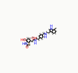 Cc1cccc2c(CCNCc3ccc(CCNC(O)Cc4ccc(O)c5[nH]c(=O)sc45)cc3)c[nH]c12